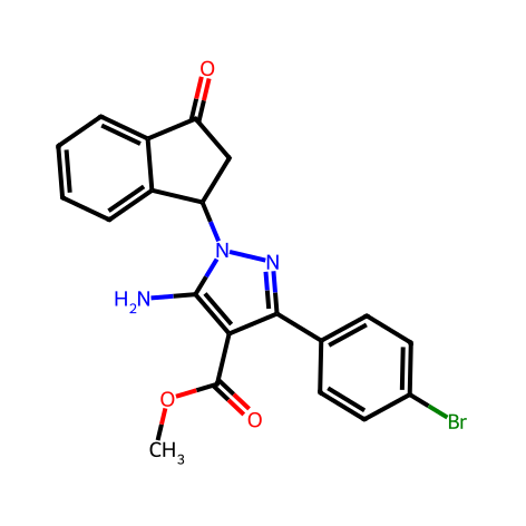 COC(=O)c1c(-c2ccc(Br)cc2)nn(C2CC(=O)c3ccccc32)c1N